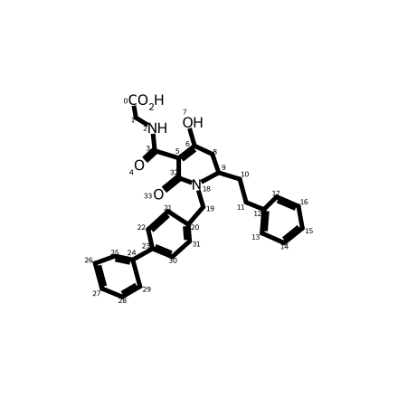 O=C(O)CNC(=O)C1=C(O)CC(CCc2ccccc2)N(Cc2ccc(-c3ccccc3)cc2)C1=O